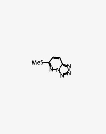 CSc1ccc2nnnn2n1